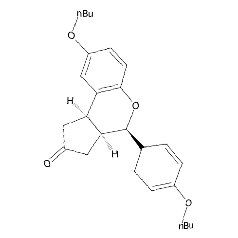 CCCCOC1=CCC([C@@H]2Oc3ccc(OCCCC)cc3[C@@H]3CC(=O)C[C@@H]32)C=C1